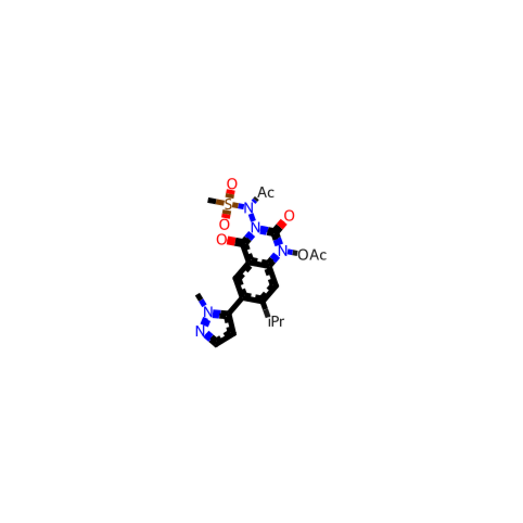 CC(=O)On1c(=O)n(N(C(C)=O)S(C)(=O)=O)c(=O)c2cc(-c3ccnn3C)c(C(C)C)cc21